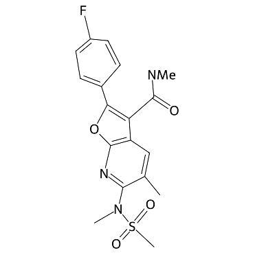 CNC(=O)c1c(-c2ccc(F)cc2)oc2nc(N(C)S(C)(=O)=O)c(C)cc12